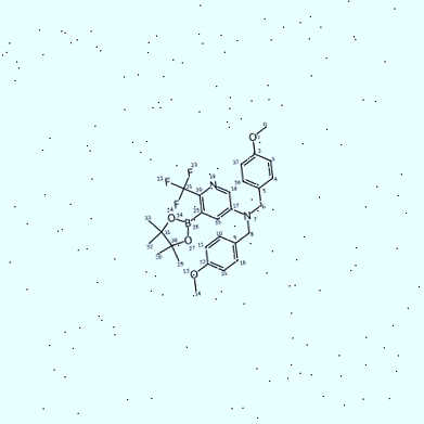 COc1ccc(CN(Cc2ccc(OC)cc2)c2cnc(C(F)(F)F)c(B3OC(C)(C)C(C)(C)O3)c2)cc1